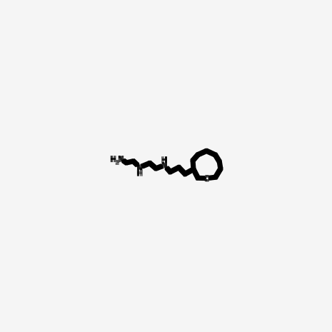 NCCNCCNCCCC1CCCCCCCCC1